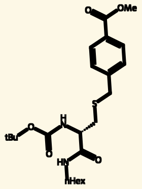 CCCCCCNC(=O)[C@@H](CSCc1ccc(C(=O)OC)cc1)NC(=O)OC(C)(C)C